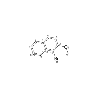 COc1ccc2ccncc2c1Br